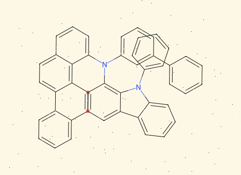 c1ccc(-c2cccc(N(c3cccc4ccc5c6ccccc6ccc5c34)c3cccc4c5ccccc5n(-c5ccccc5)c34)c2)cc1